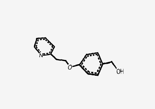 OCc1ccc(OCCc2ccccn2)cc1